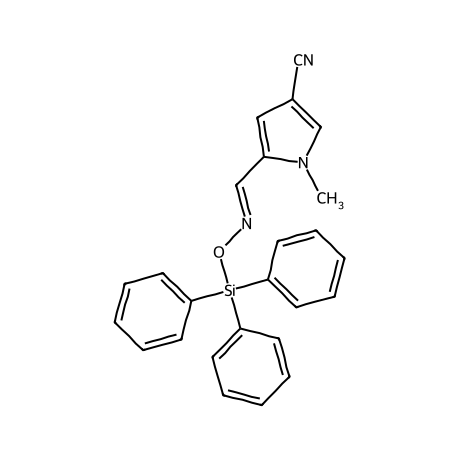 Cn1cc(C#N)cc1/C=N/O[Si](c1ccccc1)(c1ccccc1)c1ccccc1